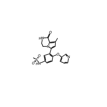 Cc1cc(-c2cc(NS(C)(=O)=O)ccc2Oc2cccnc2)n2c1C(=O)NCC2